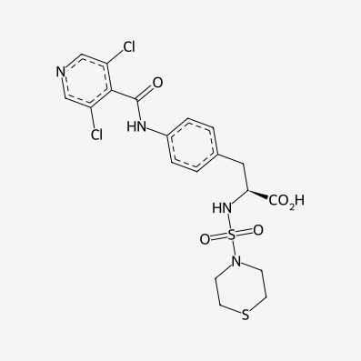 O=C(Nc1ccc(C[C@H](NS(=O)(=O)N2CCSCC2)C(=O)O)cc1)c1c(Cl)cncc1Cl